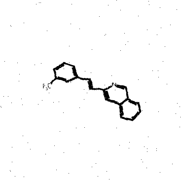 FC(F)(F)c1cccc(/C=C/c2cc3ccccc3cn2)c1